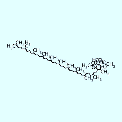 COc1c(OC(C)=O)c(C)c(C/C=C(\C)CC/C=C(\C)CC/C=C(\C)CC/C=C(\C)CC/C=C(\C)CC/C=C(\C)CC/C=C(\C)CC/C=C(\C)CC/C=C(\C)CCC=C(C)C)c(OC(C)=O)c1OC